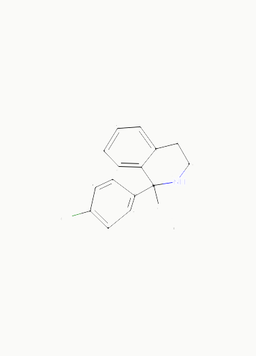 CC1(c2ccc(F)cc2)NCCc2ccccc21.Cl